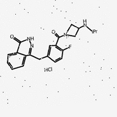 CC(C)NC1CN(C(=O)c2cc(Cc3n[nH]c(=O)c4ccccc34)ccc2F)C1.Cl